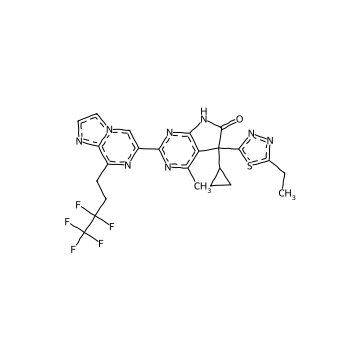 CCc1nnc(C2(C3CC3)C(=O)Nc3nc(-c4cn5ccnc5c(CCC(F)(F)C(F)(F)F)n4)nc(C)c32)s1